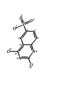 O=S(=O)(Cl)c1ccc2nc(Cl)nc(Cl)c2c1